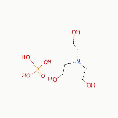 O=P(O)(O)O.OCCN(CCO)CCO